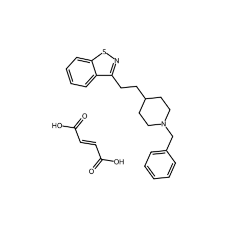 O=C(O)C=CC(=O)O.c1ccc(CN2CCC(CCc3nsc4ccccc34)CC2)cc1